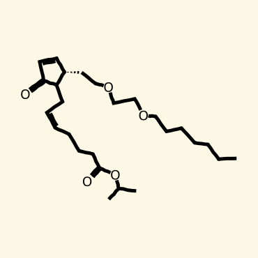 CCCCCCCOCCOCC[C@H]1C=CC(=O)C1C/C=C\CCCC(=O)OC(C)C